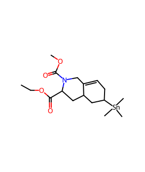 CCOC(=O)C1CC2C[CH]([Sn]([CH3])([CH3])[CH3])CC=C2CN1C(=O)OC